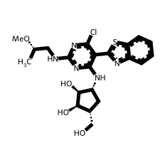 CO[C@@H](C)CNc1nc(Cl)c(-c2nc3ccccc3s2)c(N[C@@H]2C[C@H](CO)[C@@H](O)[C@H]2O)n1